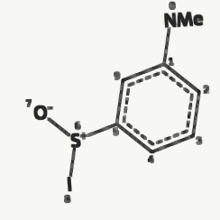 CNc1cccc([S+]([O-])I)c1